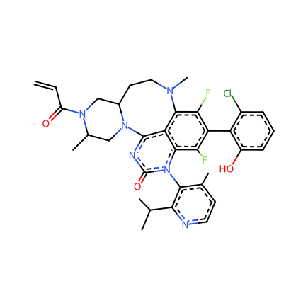 C=CC(=O)N1CC2CCN(C)c3c(F)c(-c4c(O)cccc4Cl)c(F)c4c3c(nc(=O)n4-c3c(C)ccnc3C(C)C)N2CC1C